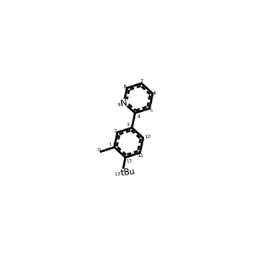 Cc1cc(-c2ccccn2)ccc1C(C)(C)C